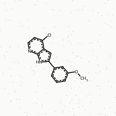 COc1cccc(-c2cc3c(Cl)ccnc3[nH]2)c1